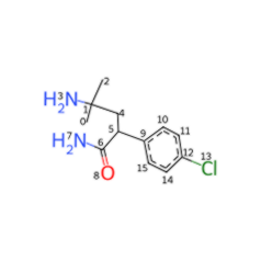 CC(C)(N)CC(C(N)=O)c1ccc(Cl)cc1